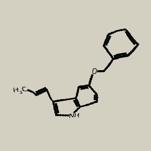 CC=Cc1c[nH]c2ccc(OCc3ccccc3)cc12